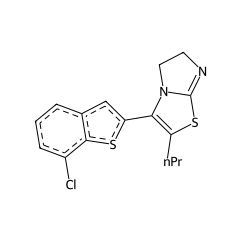 CCCC1=C(c2cc3cccc(Cl)c3s2)N2CCN=C2S1